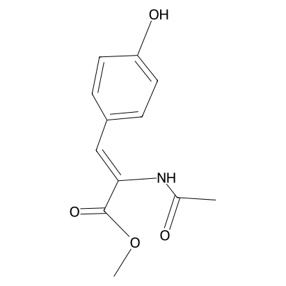 COC(=O)/C(=C/c1ccc(O)cc1)NC(C)=O